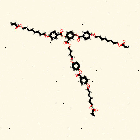 C=CC(=O)OCCCCCCCCOc1ccc(C(=O)Oc2ccc(OC(=O)c3ccc(OCCCCCCCCOC(=O)C=C)cc3)c(C(=O)OCCCCOc3ccc(OC(=O)c4ccc(OCCCCCCOC(=O)C=C)cc4)cc3)c2)cc1